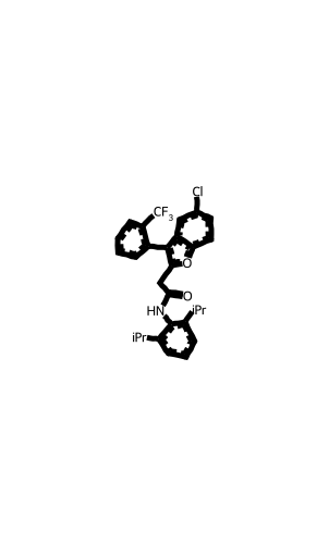 CC(C)c1cccc(C(C)C)c1NC(=O)Cc1oc2ccc(Cl)cc2c1-c1ccccc1C(F)(F)F